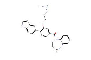 CCCN(CC)CCCOc1cc(C(=O)N2CC[C@H](C)Nc3ccccc32)ccc1-c1ccc2[nH]ccc2c1